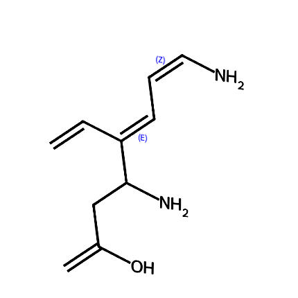 C=C/C(=C\C=C/N)C(N)CC(=C)O